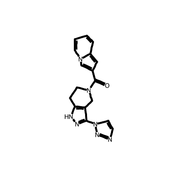 O=C(c1cc2ccccn2c1)N1CCc2[nH]nc(-n3ccnn3)c2C1